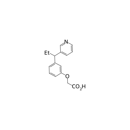 [CH2]CC(c1cccnc1)c1cccc(OCC(=O)O)c1